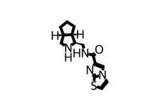 O=C(NC[C@H]1NC[C@@H]2CCC[C@@H]21)c1cn2ccsc2n1